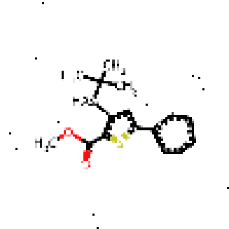 COC(=O)c1sc(-c2ccccc2)cc1[AsH]C(C)(C)C